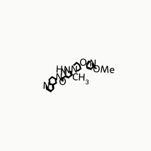 COc1ccc(OC2CCN(c3nnc(C(=O)N[C@@H]4CCc5ncccc5C4)cc3C)CC2)cn1